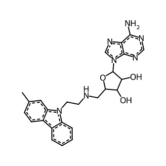 Cc1ccc2c3ccccc3n(CCNCC3OC(n4cnc5c(N)ncnc54)C(O)C3O)c2c1